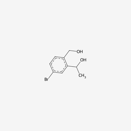 CC(O)c1cc(Br)ccc1CO